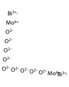 [Bi+3].[Bi+3].[Mo+6].[Mo+6].[O-2].[O-2].[O-2].[O-2].[O-2].[O-2].[O-2].[O-2].[O-2]